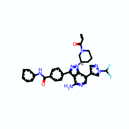 C=CC(=O)N1CCC[C@@H](n2nc(-c3ccc(C(=O)Nc4ccccc4)cc3)c3c(N)ncc(-c4cnn(C(F)F)c4)c32)C1